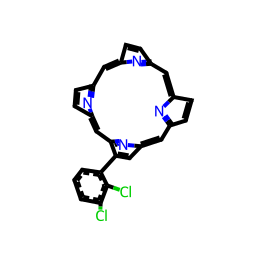 Clc1cccc(C2=CC3=CC4=NC(=CC5=NC(=CC6=NC(=CC2=N3)C=C6)C=C5)C=C4)c1Cl